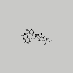 CCS(=O)(=O)c1ccc(C(=O)Nc2ccc(Cl)c(-c3nccc4ccccc34)c2)c(Cl)c1